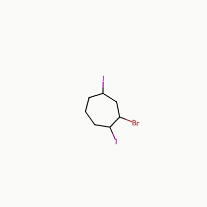 BrC1CC(I)CCCC1I